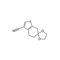 N#Cc1csc2c1CCC1(C2)OCCO1